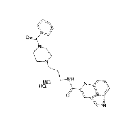 Cl.Cl.O=C(NCCCN1CCN(C(=O)c2ccccc2)CC1)C1=Cc2cnc3cccc(n23)S1